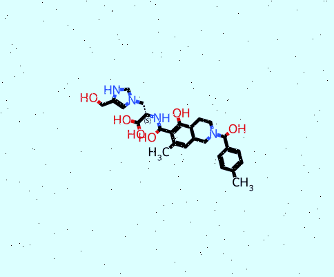 CC1=CC2CN(C(O)c3ccc(C)cc3)CCC2C(O)=C1C(O)N[C@@H](CN1C=C(CO)NC1)C(O)O